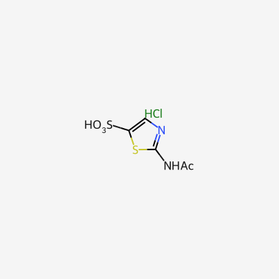 CC(=O)Nc1ncc(S(=O)(=O)O)s1.Cl